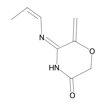 C=C1OCC(=O)N/C1=N/C=C\C